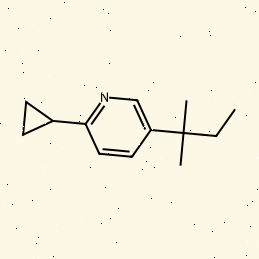 CCC(C)(C)c1ccc(C2CC2)nc1